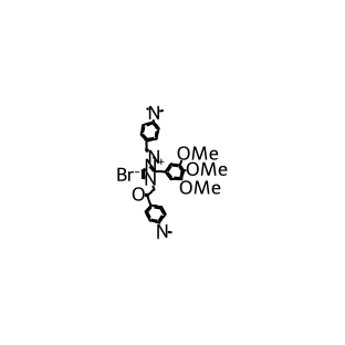 COc1cc(-c2n(CC(=O)c3ccc(N(C)C)cc3)cc[n+]2N=Cc2ccc(N(C)C)cc2)cc(OC)c1OC.[Br-]